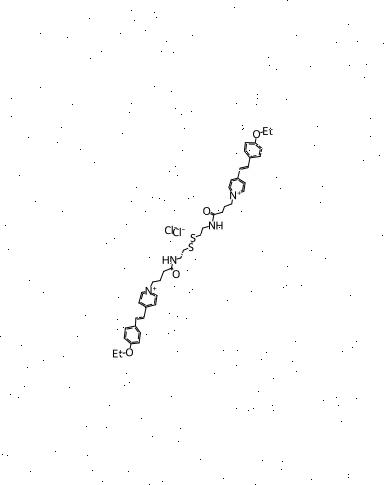 CCOc1ccc(/C=C/c2cc[n+](CCCC(=O)NCCSSCCNC(=O)CCC[n+]3ccc(/C=C/c4ccc(OCC)cc4)cc3)cc2)cc1.[Cl-].[Cl-]